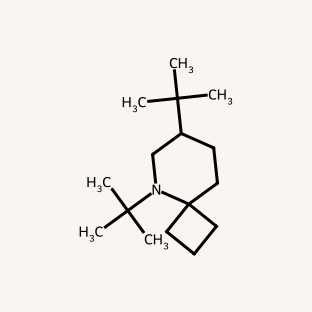 CC(C)(C)C1CCC2(CCC2)N(C(C)(C)C)C1